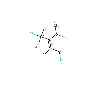 C/C(CF)=C(/C(F)C(F)(F)F)C(C)(F)C(F)(F)F